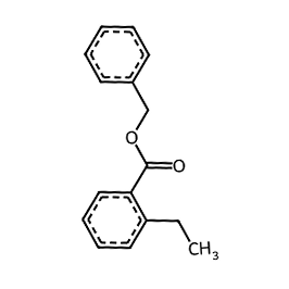 CCc1ccccc1C(=O)OCc1ccccc1